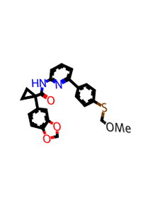 COCSc1ccc(-c2cccc(NC(=O)C3(c4ccc5c(c4)OCO5)CC3)n2)cc1